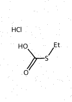 CCSC(=O)O.Cl